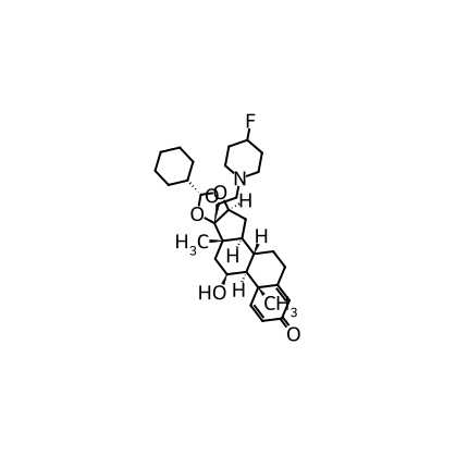 C[C@]12C=CC(=O)C=C1CC[C@@H]1[C@@H]2[C@@H](O)C[C@@]2(C)[C@H]1C[C@@H]1O[C@@H](C3CCCCC3)O[C@]12C(=O)CN1CCC(F)CC1